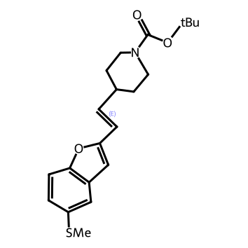 CSc1ccc2oc(/C=C/C3CCN(C(=O)OC(C)(C)C)CC3)cc2c1